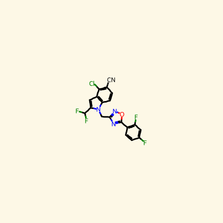 N#Cc1ccc2c(cc(C(F)F)n2Cc2noc(-c3ccc(F)cc3F)n2)c1Cl